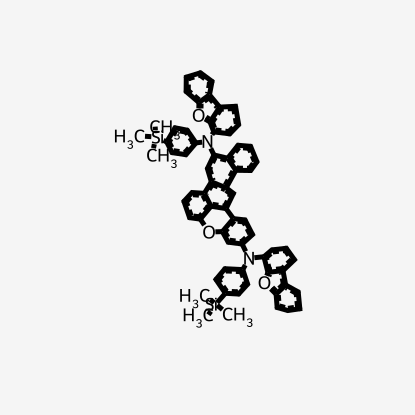 C[Si](C)(C)c1ccc(N(c2ccc3c(c2)Oc2cccc4c2c-3cc2c3ccccc3c(N(c3ccc([Si](C)(C)C)cc3)c3cccc5c3oc3ccccc35)cc42)c2cccc3c2oc2ccccc23)cc1